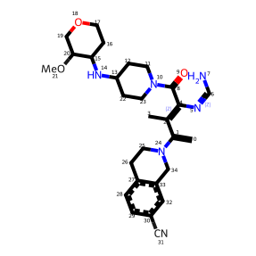 C=C(/C(C)=C(\N=C/N)C(=O)N1CCC(NC2CCOCC2OC)CC1)N1CCc2ccc(C#N)cc2C1